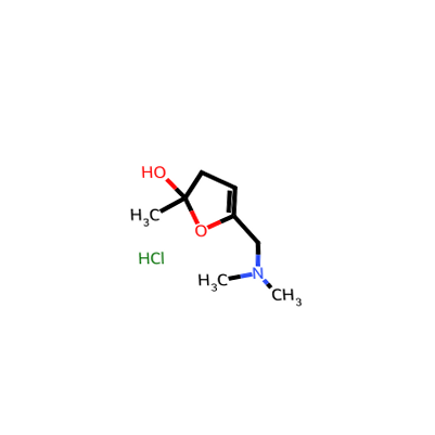 CN(C)CC1=CCC(C)(O)O1.Cl